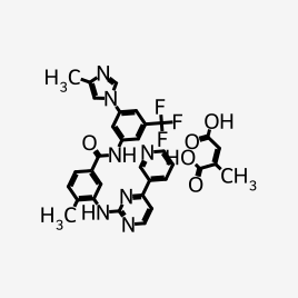 CC(=CC(=O)O)C(=O)O.Cc1cn(-c2cc(NC(=O)c3ccc(C)c(Nc4nccc(-c5cccnc5)n4)c3)cc(C(F)(F)F)c2)cn1